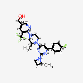 C[C@@H]1CCN1c1nc(-c2ccc(F)cc2)cc(N2CCN(c3ncc(CO)cc3C(F)(F)F)C[C@@H]2C)n1